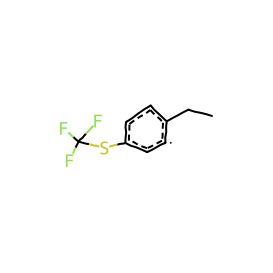 CCc1[c]cc(SC(F)(F)F)cc1